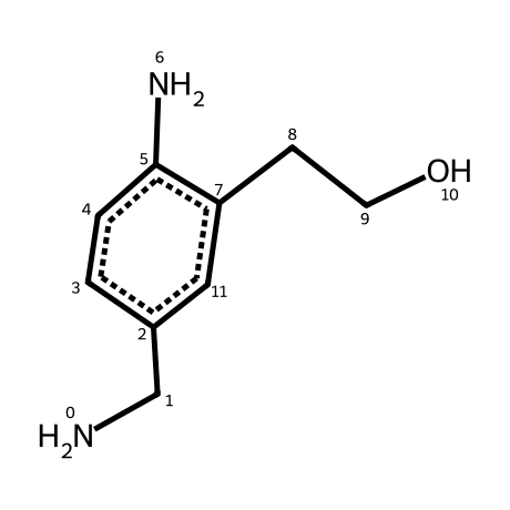 NCc1ccc(N)c(CCO)c1